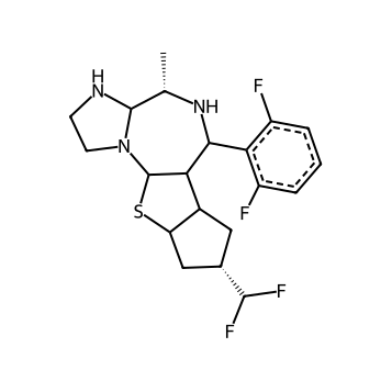 C[C@@H]1NC(c2c(F)cccc2F)C2C3C[C@H](C(F)F)CC3SC2N2CCNC12